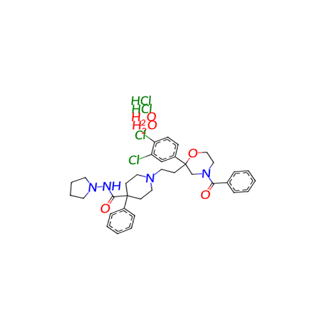 Cl.Cl.O.O.O=C(c1ccccc1)N1CCOC(CCN2CCC(C(=O)NN3CCCC3)(c3ccccc3)CC2)(c2ccc(Cl)c(Cl)c2)C1